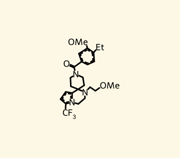 CCc1ccc(C(=O)N2CCC3(CC2)c2ccc(C(F)(F)F)n2CCN3CCOC)cc1OC